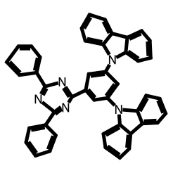 c1ccc(-c2nc(-c3ccccc3)nc(-c3cc(-n4c5ccccc5c5ccccc54)cc(-n4c5ccccc5c5ccccc54)c3)n2)cc1